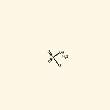 O=S(=O)(O)Cl.S